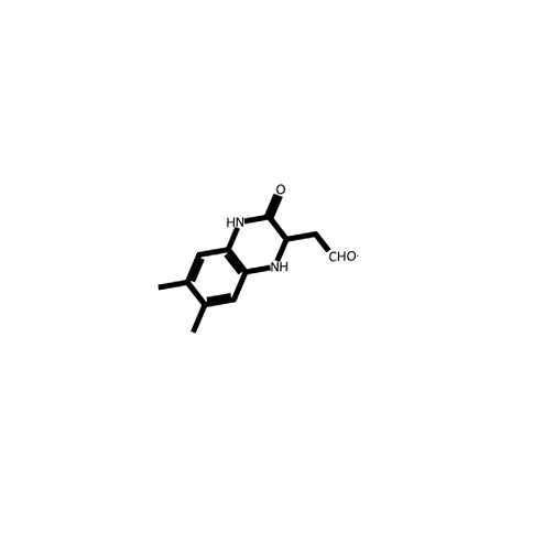 Cc1cc2c(cc1C)NC(C[C]=O)C(=O)N2